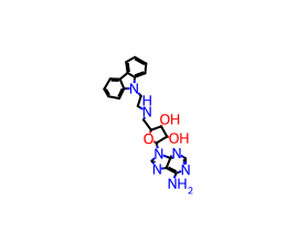 Nc1ncnc2c1ncn2C1OC(CNCCn2c3ccccc3c3ccccc32)C(O)C1O